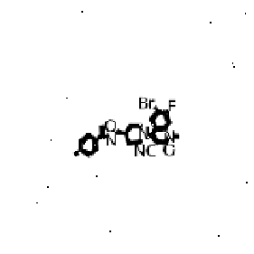 Cc1ccc(-c2coc(C3CCN(c4c(C#N)c(=O)n(C)c5cc(F)c(Br)cc45)CC3)n2)cc1